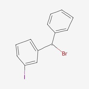 Br[C](c1ccccc1)c1cccc(I)c1